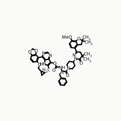 COc1ccc(C2=NN(C3CCN(C(=O)[C@@H](Cc4ccccc4)NC(=O)Oc4c(C)[nH]c5c(-c6c(OCC7CC7)ccc7c6OCO7)ncnc45)CC3)C(=O)C(C)(C)C2)c2c1OC(C)(C)C2